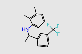 Cc1cccc(NC(C)c2cccc(C(F)(F)F)c2)c1C